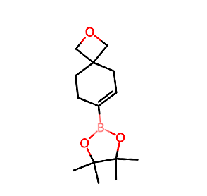 CC1(C)OB(C2=CCC3(CC2)COC3)OC1(C)C